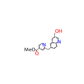 COC(=O)c1ccnc(Cc2ccc3ncc(CO)cc3c2)c1